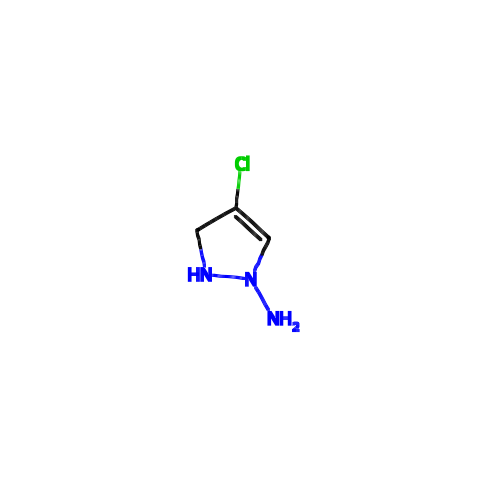 NN1C=C(Cl)CN1